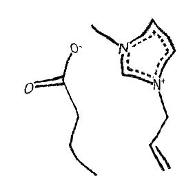 C=CC[n+]1ccn(C)c1.CCCC(=O)[O-]